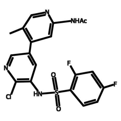 CC(=O)Nc1cc(-c2cnc(Cl)c(NS(=O)(=O)c3ccc(F)cc3F)c2)c(C)cn1